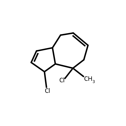 CC1(Cl)CC=CCC2C=CC(Cl)C21